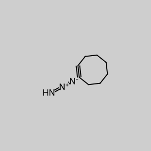 C1#CCCCCCC1.[N-]=[N+]=N